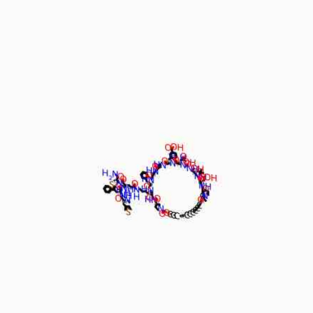 CN[C@@H](Cc1ccsc1)C(=O)N[C@@H](Cc1csc2ccccc12)C(=O)N[C@@H](CCC(=O)NCCCC[C@@H]1NC(=O)[C@H](Cc2ccccc2)NC(=O)[C@H](C)NC(=O)C(C)(C)NC(=O)[C@H](Cc2cccc(C(=O)O)c2)NC(=O)[C@H](CC(=O)O)NC(=O)NC(O)[C@H](CC(C)(C)C)NC(=O)[C@H](CC(=O)O)NC(=O)[C@]2(C/C=C\CCCCCC/C=C/CCCOC(=O)N3CC[C@@](C=O)(C3)NC1=O)CCCN2C(C)=O)C(=O)N[C@@H](C)C(N)=O